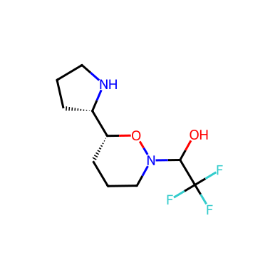 OC(N1CCC[C@H]([C@@H]2CCCN2)O1)C(F)(F)F